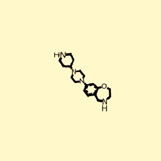 c1cc2c(cc1N1CCN(C3CCNCC3)CC1)OCCNC2